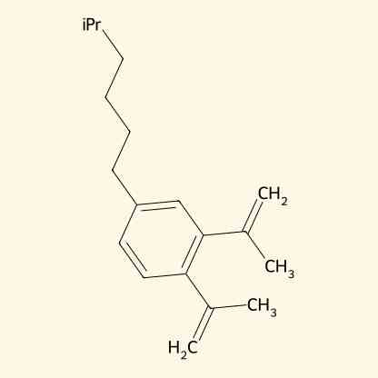 C=C(C)c1ccc(CCCCC(C)C)cc1C(=C)C